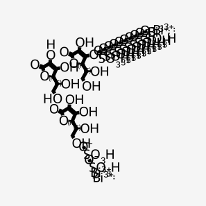 O=C1O[C@H]([C@@H](O)CO)C(O)=C1O.O=C1O[C@H]([C@@H](O)CO)C(O)=C1O.O=C1O[C@H]([C@@H](O)CO)C(O)=C1O.O=S(=O)([O-])O.O=S(=O)([O-])O.O=S(=O)([O-])O.O=S(=O)([O-])O.O=S(=O)([O-])O.O=S(=O)([O-])O.O=S(=O)([O-])O.O=S(=O)([O-])O.O=S(=O)([O-])O.O=S(=O)([O-])O.O=S(=O)([O-])O.O=S(=O)([O-])O.[Bi+3].[Bi+3].[Bi+3].[Bi+3]